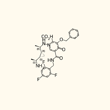 C[C@H](N)[C@H]1C[C@H]1[C@@H](C)Nn1cc(C(=O)NCc2c(F)cc(F)cc2F)c(=O)c(OCc2ccccc2)c1C(=O)O